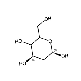 OCC1O[C@@H](O)C[C@@H](O)C1O